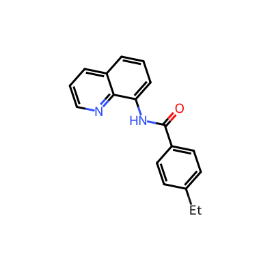 CCc1ccc(C(=O)Nc2cccc3cccnc23)cc1